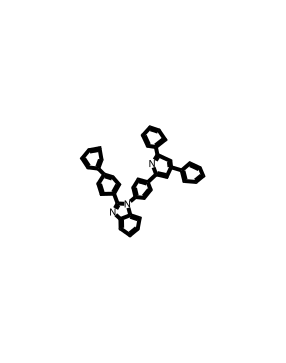 c1ccc(-c2ccc(-c3nc4ccccc4n3-c3ccc(-c4cc(-c5ccccc5)cc(-c5ccccc5)n4)cc3)cc2)cc1